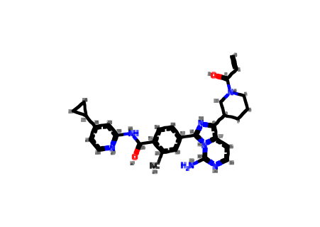 C=CC(=O)N1CCCC(c2nc(-c3ccc(C(=O)Nc4cc(C5CC5)ccn4)c(C#N)c3)n3c(N)nccc23)C1